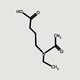 CCN(CCCC(=O)O)C(C)=O